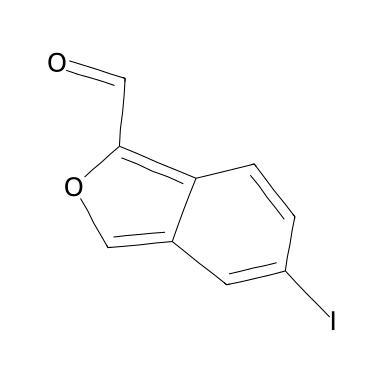 O=Cc1occ2cc(I)ccc12